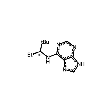 CC[C@H](Nc1ncnc2[nH]cnc12)C(C)(C)C